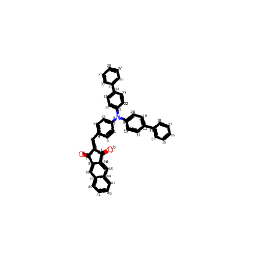 O=C1C(=Cc2ccc(N(c3ccc(-c4ccccc4)cc3)c3ccc(-c4ccccc4)cc3)cc2)C(=O)c2cc3ccccc3cc21